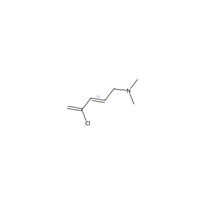 C=C(Cl)/C=C/CN(C)C